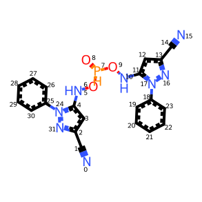 N#Cc1cc(NO[PH](=O)ONc2cc(C#N)nn2-c2ccccc2)n(-c2ccccc2)n1